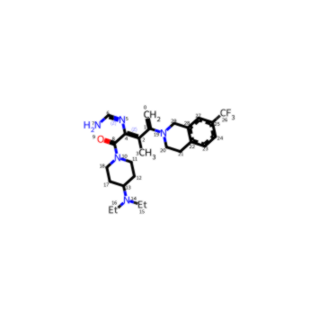 C=C(/C(C)=C(\N=C/N)C(=O)N1CCC(N(CC)CC)CC1)N1CCc2ccc(C(F)(F)F)cc2C1